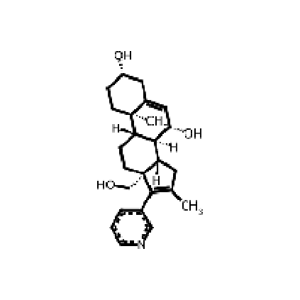 CC1=C(c2cccnc2)[C@@]2(CO)CC[C@H]3[C@@H]([C@@H](O)C=C4C[C@@H](O)CC[C@@]43C)[C@@H]2C1